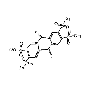 O=C1c2cc(S(=O)(=O)O)c(S(=O)(=O)O)cc2C(=O)c2cc(S(=O)(=O)O)c(S(=O)(=O)O)cc21